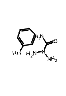 NC(=O)N(N)N.Oc1ccccc1